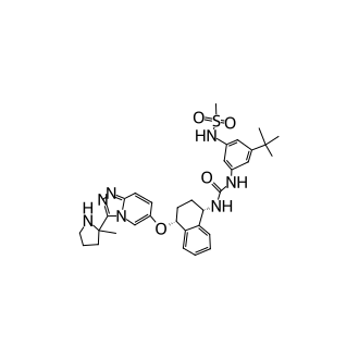 CC(C)(C)c1cc(NC(=O)N[C@H]2CC[C@@H](Oc3ccc4nnc(C5(C)CCCN5)n4c3)c3ccccc32)cc(NS(C)(=O)=O)c1